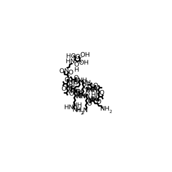 CC(=O)NC(C(=O)NC(C(=O)NC(C(=O)NC(CCCCN)C(=O)NC(CCCCN)C(=O)NC(CCCCN)C(=O)NC(CCCNC(=N)N)C(=O)NC(CCCCN)C(=O)NC(C(=O)NC(C(=O)NC(CSC1CC(=O)N(CCCCN[C@H]2C(O)O[C@H](CO)[C@@H](O)[C@@H]2O)C1=O)C(=O)O)C(C)C)C(C)C)C(C)C)C(C)C)C(C)C